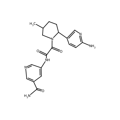 CC1CCC(c2ccc(N)nc2)N(C(=O)C(=O)Nc2cncc(C(N)=O)c2)C1